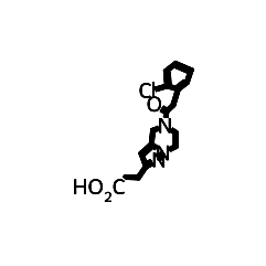 O=C(O)CCc1cc2n(n1)CCN(C(=O)Cc1ccccc1Cl)C2